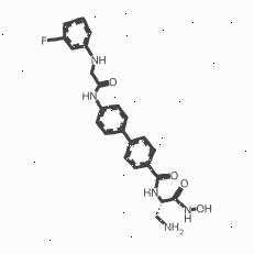 NC[C@H](NC(=O)c1ccc(-c2ccc(NC(=O)CNc3cccc(F)c3)cc2)cc1)C(=O)NO